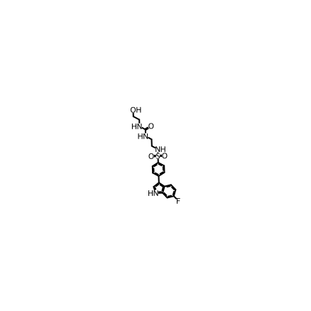 O=C(NCCO)NCCNS(=O)(=O)c1ccc(-c2c[nH]c3cc(F)ccc23)cc1